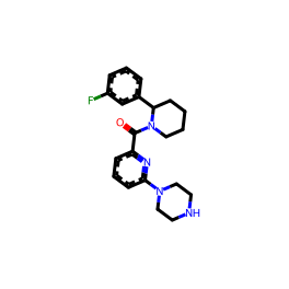 O=C(c1cccc(N2CCNCC2)n1)N1CCCCC1c1cccc(F)c1